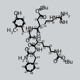 Cc1cc(O)ccc1C[C@H](NC(=O)[C@@H](CCCNC(=N)N)CC(=O)OC(C)(C)C)C(=O)N[C@@H](CCCCNC(=O)OC(C)(C)C)C(=O)N[C@@H](Cc1ccccc1)C(N)=O